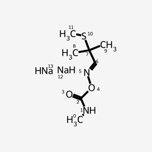 CNC(=O)O/N=C/C(C)(C)SC.[NaH].[NaH]